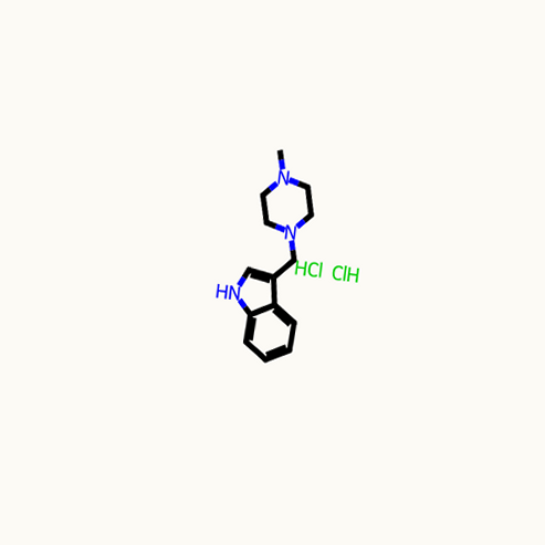 CN1CCN(Cc2c[nH]c3ccccc23)CC1.Cl.Cl